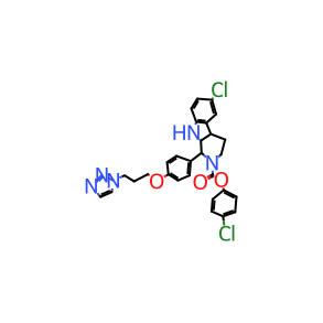 O=C(Oc1ccc(Cl)cc1)N1CCC2c3cc(Cl)ccc3NC2C1c1ccc(OCCCn2ccnn2)cc1